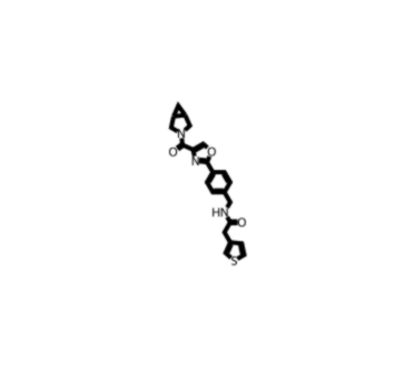 O=C(Cc1ccsc1)NCc1ccc(-c2nc(C(=O)N3CC4CC4C3)co2)cc1